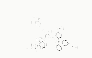 COc1ccc(C(OC[C@H]2O[C@@H](n3cnc4c(NC(C)=O)ncnc43)[C@@H](OCOCC(C(F)(F)F)C(F)(F)F)C2C)(c2ccccc2)c2ccc(OC)cc2)cc1